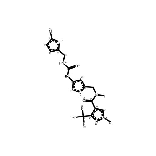 CN(Cc1nsc(NC(=O)NCc2ccc(Cl)s2)n1)C(=O)c1cn(C)nc1C(F)(F)F